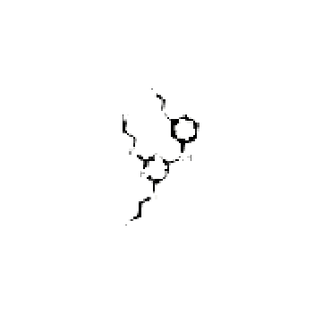 CCOc1cccc(Nc2nc(NCCO)nc(NCCO)n2)c1